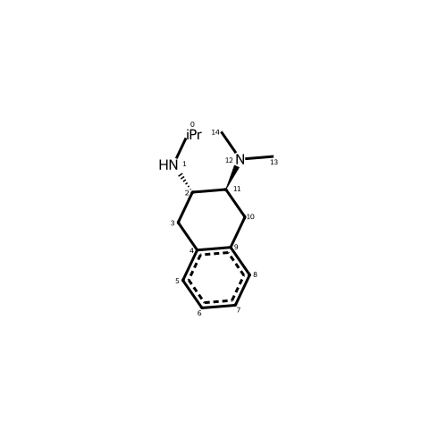 CC(C)N[C@H]1Cc2ccccc2C[C@@H]1N(C)C